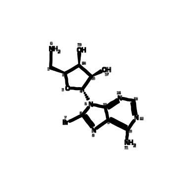 NC[C@@H]1O[C@@H](n2c(Br)nc3c(N)ncnc32)[C@H](O)[C@@H]1O